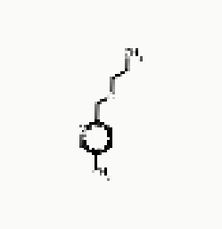 CCCOCc1ccc(C)cn1